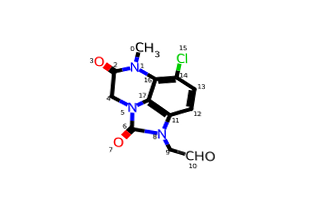 CN1C(=O)Cn2c(=O)n(CC=O)c3ccc(Cl)c1c32